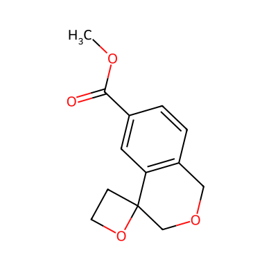 COC(=O)c1ccc2c(c1)C1(CCO1)COC2